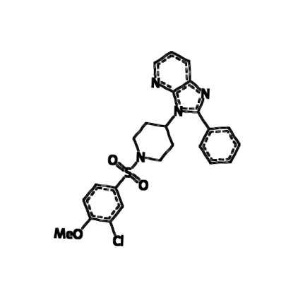 COc1ccc(S(=O)(=O)N2CCC(n3c(-c4ccccc4)nc4cccnc43)CC2)cc1Cl